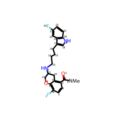 CNC(=O)c1ccc(F)c2c1CC(NCCCCc1c[nH]c3ccc(F)cc13)CO2